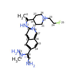 C=C(Nc1cc2cc(/C(=C/N)N(C)N)ccc2cn1)C1CCN(CCF)CC1